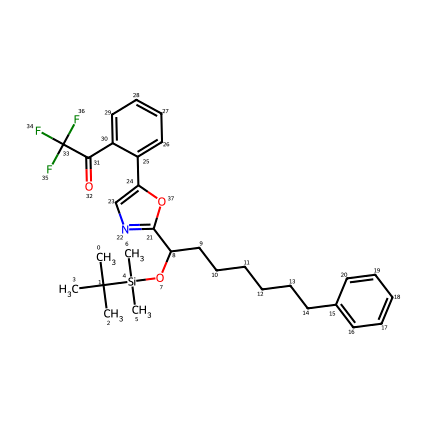 CC(C)(C)[Si](C)(C)OC(CCCCCCc1ccccc1)c1ncc(-c2ccccc2C(=O)C(F)(F)F)o1